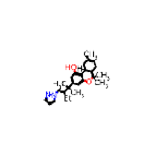 CCC(Cn1cccn1)C(C)(C)c1cc(O)c2c(c1)OC(C)(C)C1CC=C(C)C[C@@H]21